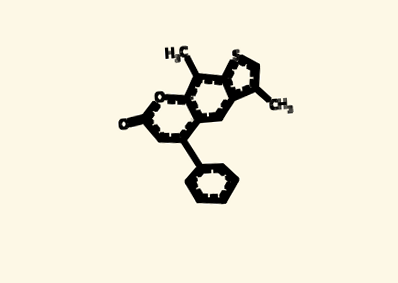 Cc1csc2c(C)c3oc(=O)cc(-c4ccccc4)c3cc12